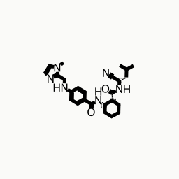 CC(C)C[C@@H](C#N)NC(=O)[C@@H]1CCCC[C@@H]1NC(=O)c1ccc(NCc2nccn2C)cc1